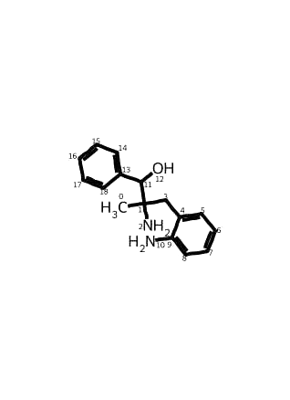 CC(N)(Cc1ccccc1N)C(O)c1ccccc1